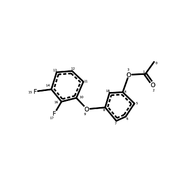 CC(=O)Oc1[c]ccc(Oc2cccc(F)c2F)c1